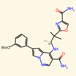 COc1cccc(-c2cc3c(N[C@H](C)C(C)(C)c4nc(C(N)=O)co4)c(C(N)=O)cnn3c2)c1